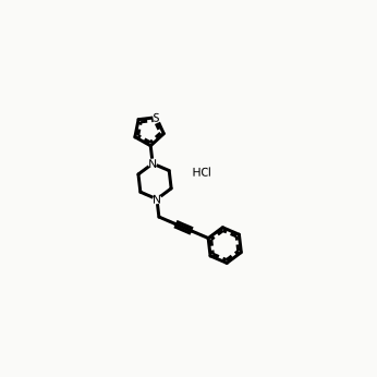 C(#Cc1ccccc1)CN1CCN(c2ccsc2)CC1.Cl